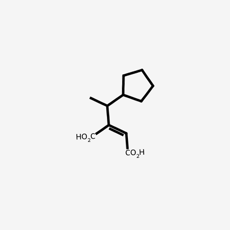 CC(C(=CC(=O)O)C(=O)O)C1CCCC1